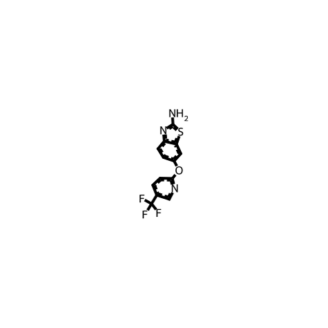 Nc1nc2ccc(Oc3ccc(C(F)(F)F)cn3)cc2s1